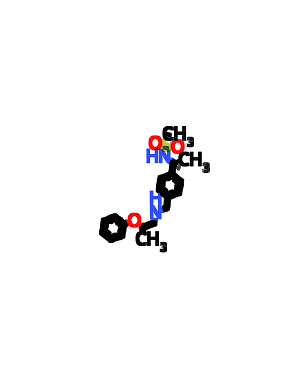 CC(CNCc1ccc([C@@H](C)NS(C)(=O)=O)cc1)Oc1ccccc1